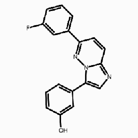 Oc1cccc(-c2cnc3ccc(-c4cccc(F)c4)nn23)c1